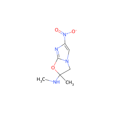 CNC1(C)Cn2cc([N+](=O)[O-])nc2O1